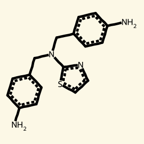 Nc1ccc(CN(Cc2ccc(N)cc2)c2nccs2)cc1